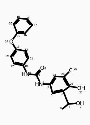 CC(O)c1cc(NC(=O)Nc2ccc(Oc3ccccc3)cc2)cc(Cl)c1O